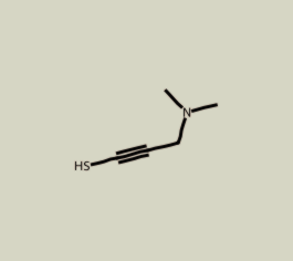 CN(C)CC#CS